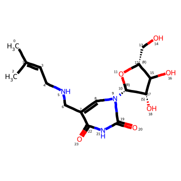 CC(C)=CCNCc1cn([C@@H]2O[C@H](CO)C(O)[C@@H]2O)c(=O)[nH]c1=O